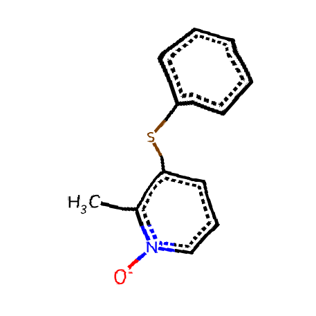 Cc1c(Sc2ccccc2)ccc[n+]1[O-]